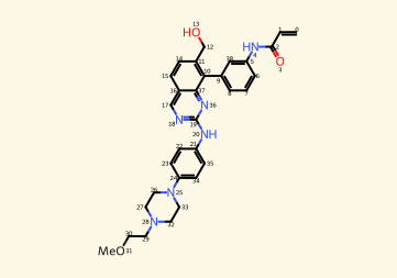 C=CC(=O)Nc1cccc(-c2c(CO)ccc3cnc(Nc4ccc(N5CCN(CCOC)CC5)cc4)nc23)c1